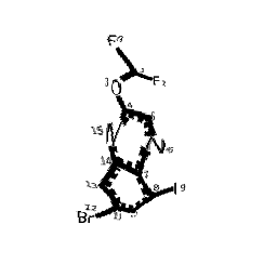 FC(F)Oc1cnc2c(I)cc(Br)cc2n1